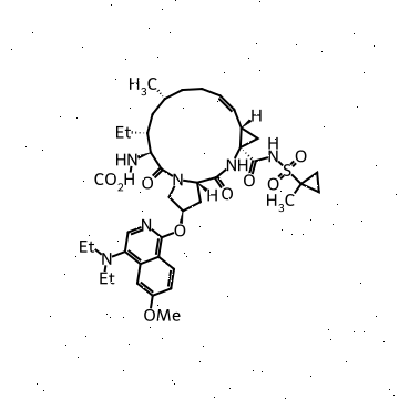 CC[C@@H]1C[C@H](C)CC/C=C\[C@@H]2C[C@@]2(C(=O)NS(=O)(=O)C2(C)CC2)NC(=O)[C@@H]2C[C@@H](Oc3ncc(N(CC)CC)c4cc(OC)ccc34)CN2C(=O)[C@H]1NC(=O)O